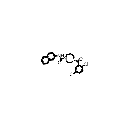 O=C(Nc1ccc2ccccc2c1)N1CCCN(C(=O)c2cc(Cl)ccc2Cl)CC1